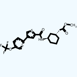 COC(=O)C[C@@H]1CCC[C@@H](NC(=O)c2cc(-c3ccc(OC(F)(F)F)cc3)cs2)C1